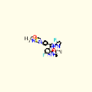 CN=S1(=O)CCN(c2ccc(-c3cn(-c4ncccc4F)nc3[C@@H]3CC[C@H](F)C[C@H]3C(=O)NC3(C#N)CC3)cc2)CC1